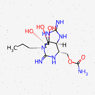 CCC[C@H]1[C@H](O)C(O)(O)[C@]23NC(=N)N[C@H]2[C@H](COC(N)=O)NC(=N)N13